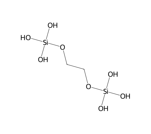 O[Si](O)(O)OCCO[Si](O)(O)O